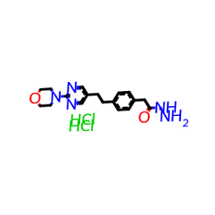 Cl.Cl.NNC(=O)Cc1ccc(CCc2cnc(N3CCOCC3)nc2)cc1